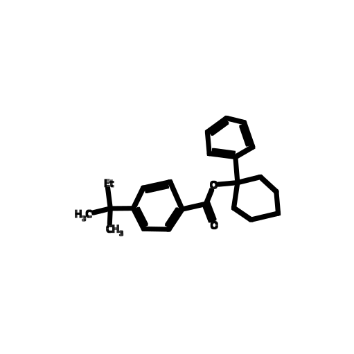 CCC(C)(C)c1ccc(C(=O)OC2(c3ccccc3)CCCCC2)cc1